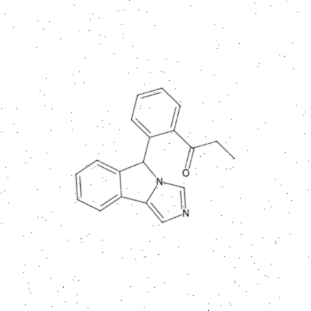 CCC(=O)c1ccccc1C1c2ccccc2-c2cncn21